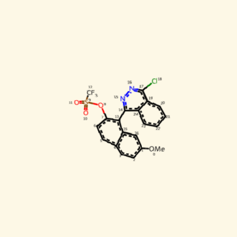 COc1ccc2ccc(OS(=O)(=O)C(F)(F)F)c(-c3nnc(Cl)c4ccccc34)c2c1